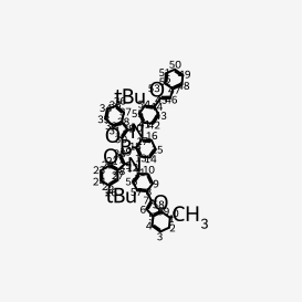 CC1CC=Cc2cc(-c3ccc(N4c5cccc6c5B(c5oc7ccc(C(C)(C)C)cc7c54)c4oc5ccc(C(C)(C)C)cc5c4N6c4ccc(-c5cc6ccccc6o5)cc4)cc3)oc21